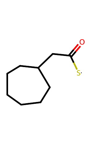 O=C([S])CC1CCCCCC1